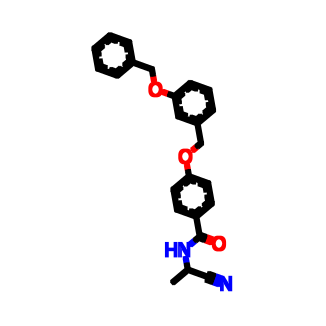 CC(C#N)NC(=O)c1ccc(OCc2cccc(OCc3ccccc3)c2)cc1